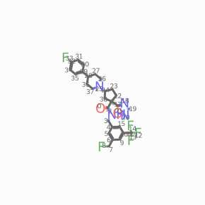 O=C(NCc1cc(CF)cc(C(F)(F)F)c1)C1(c2ncno2)CCC(N2CCC(c3ccc(F)cc3)CC2)C1